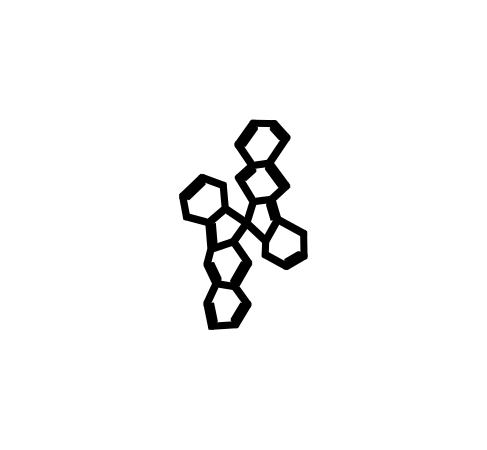 C1=CCC2C(=C3C=c4ccccc4=CC3C23C2C=c4ccccc4=CC2=C2CC=CCC23)C1